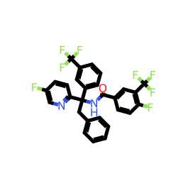 O=C(NC(Cc1ccccc1)(c1cccc(C(F)(F)F)c1)c1ccc(F)cn1)c1ccc(F)c(C(F)(F)F)c1